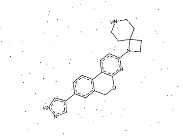 c1cc2c(cc1-c1cn[nH]c1)COc1nc(N3CCC34CCNCC4)ccc1-2